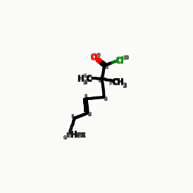 CCCCCCCC=CCC(C)(C)C(=O)Cl